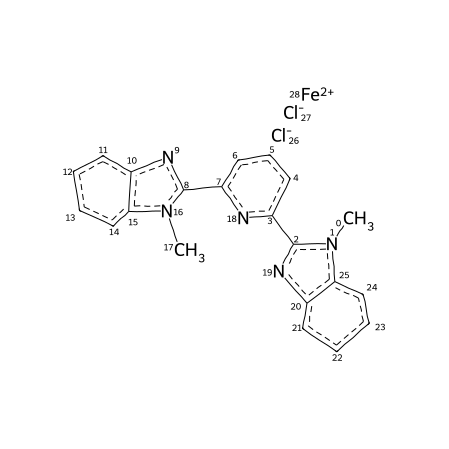 Cn1c(-c2cccc(-c3nc4ccccc4n3C)n2)nc2ccccc21.[Cl-].[Cl-].[Fe+2]